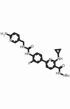 CCCCNC(=O)c1ccc(-c2ccc(NC(=O)NCc3ccc(N)nc3)c(F)c2)nc1NC1CC1